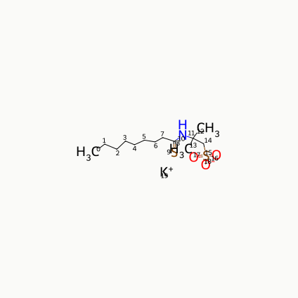 CCCCCCCCC(=S)NC(C)(C)CS(=O)(=O)[O-].[K+]